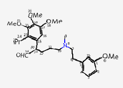 COc1cccc(CCN(C)CCC[C@@H](C=O)c2cc(OC)c(OC)c(OC)c2C(C)C)c1